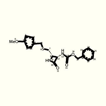 COc1ccc(CSC[C@H]2NC(=O)[C@H]2NC(=O)OCc2ccccc2)cc1